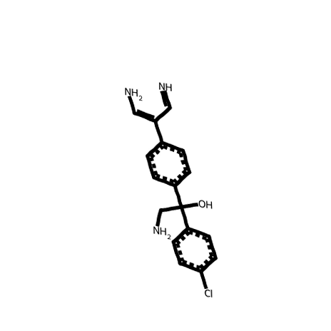 N=C/C(=C\N)c1ccc(C(O)(CN)c2ccc(Cl)cc2)cc1